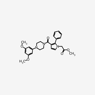 COC(=O)Cn1ccc(C(=O)N2CCN(c3cc(OC)cc(OC)c3)CC2)c1-c1ccccc1